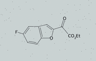 CCOC(=O)C(=O)c1cc2cc(F)ccc2o1